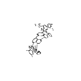 Cc1cc(C)c2nc3c4ccc5c6ccc7c8c(ccc(c9ccc(c(=O)n3c2c1)c4c95)c68)c(=O)n1c2cc(C(F)(F)F)cc(C(F)(F)F)c2nc71